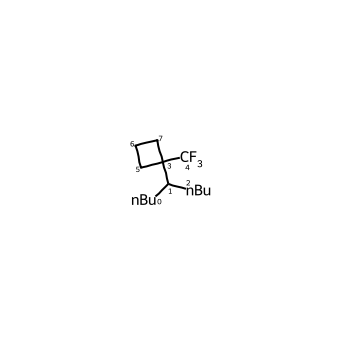 CCCCC(CCCC)C1(C(F)(F)F)CCC1